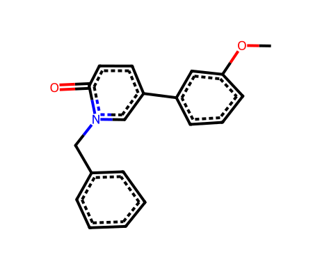 COc1cccc(-c2ccc(=O)n(Cc3ccccc3)c2)c1